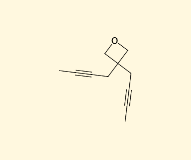 CC#CCC1(CC#CC)COC1